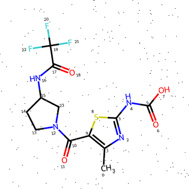 Cc1nc(NC(=O)O)sc1C(=O)N1CCC(NC(=O)C(F)(F)F)C1